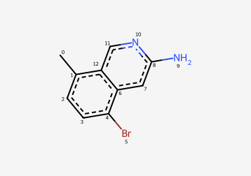 Cc1ccc(Br)c2cc(N)ncc12